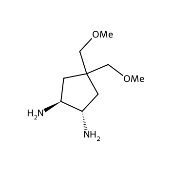 COCC1(COC)C[C@H](N)[C@@H](N)C1